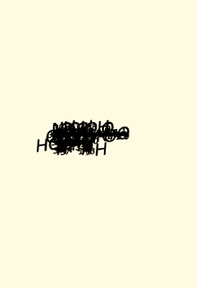 COCCOC(=O)NCc1cc(N(C)C)c2c(c1O)C(=O)C1=C(O)[C@@]3(O)C(=O)C(C(N)=O)=C(O)[C@H](N(C)C)[C@H]3C[C@H]1C2